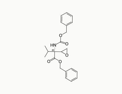 CC(C)[C@](NC(=O)OCc1ccccc1)(C(=O)OCc1ccccc1)C1CO1